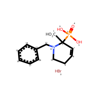 Br.O=C(O)C1(P(=O)(O)O)C=CCCN1Cc1ccccc1